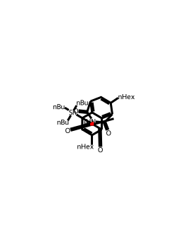 CCCCCCC1=C[C]2([Sn]([CH2]CCC)([CH2]CCC)[CH2]CCC)C(=O)NC(=O)C1c1c2c2cc(CCCCCC)c1c(=O)[nH]c2=O